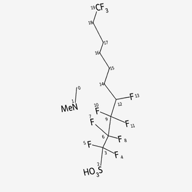 CNC.O=S(=O)(O)C(F)(F)C(F)(F)C(F)(F)C(F)CCCCCC(F)(F)F